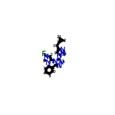 FN1C=C2N(C1)c1ccccc1-c1nnc(-n3cc(CC4CC4)nn3)n12